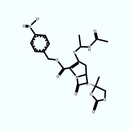 CC(=O)NC(C)SC1=C(C(=O)OCc2ccc([N+](=O)[O-])cc2)N2C(=O)[C@@H](C3(C)COC(=O)O3)C2C1